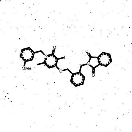 COc1cccc(Cn2c(C)cc(OCc3ccccc3CN3C(=O)c4ccccc4C3=O)c(I)c2=O)c1